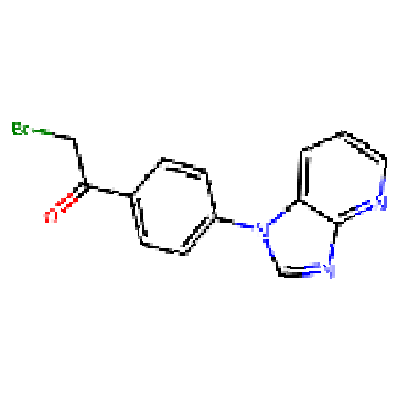 O=C(CBr)c1ccc(-n2cnc3ncccc32)cc1